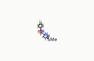 CSc1ccc(-c2coc(-c3ccc(F)cc3)n2)nn1